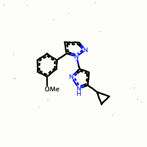 COc1cccc(-c2ccnn2-c2cc(C3CC3)[nH]n2)c1